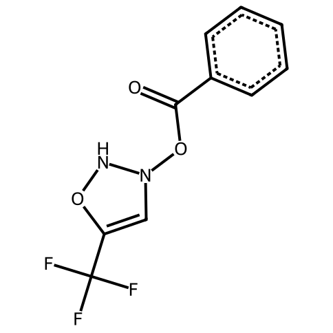 O=C(ON1C=C(C(F)(F)F)ON1)c1ccccc1